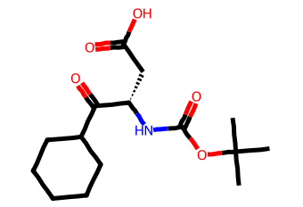 CC(C)(C)OC(=O)N[C@@H](CC(=O)O)C(=O)[C]1CCCCC1